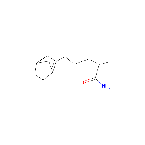 CC(CCCC1=C2CCC(C1)C2)C(N)=O